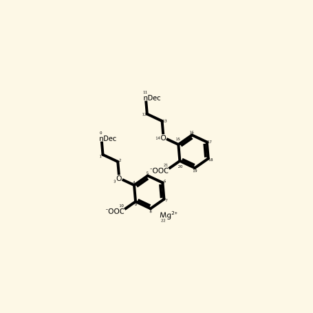 CCCCCCCCCCCCOc1ccccc1C(=O)[O-].CCCCCCCCCCCCOc1ccccc1C(=O)[O-].[Mg+2]